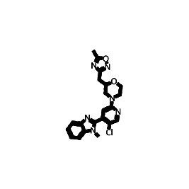 Cc1nc(CC2CN(c3cc(-c4nc5ccccc5n4C)c(Cl)cn3)CCO2)no1